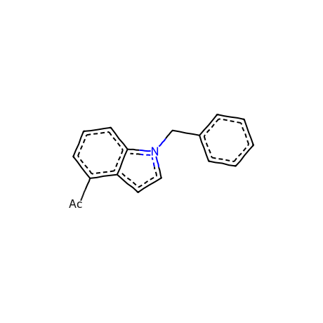 CC(=O)c1cccc2c1ccn2Cc1ccccc1